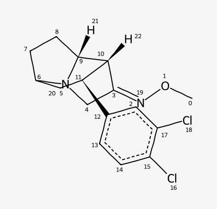 CON=C1CN2C3CC[C@@H]2[C@H]1[C@@H](c1ccc(Cl)c(Cl)c1)C3